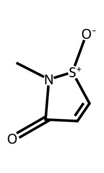 Cn1c(=O)cc[s+]1[O-]